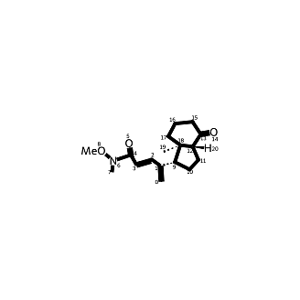 C=C(/C=C/C(=O)N(C)OC)[C@H]1CC[C@H]2C(=O)CCC[C@]12C